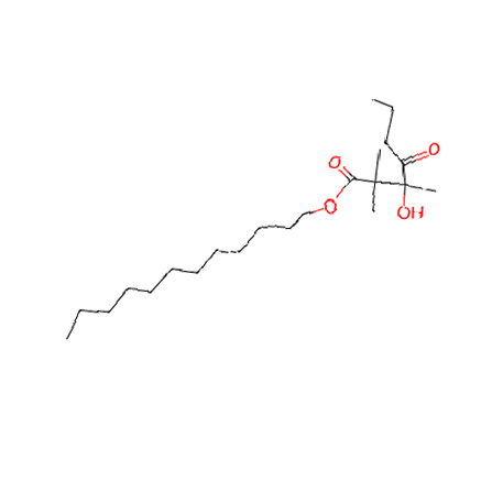 CCCCCCCCCCCCOC(=O)C(C)(C)C(C)(O)C(=O)CCC